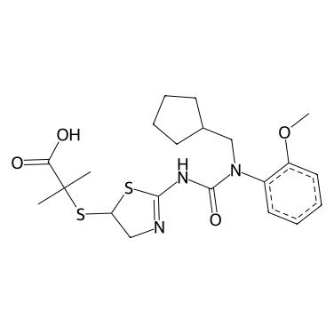 COc1ccccc1N(CC1CCCC1)C(=O)NC1=NCC(SC(C)(C)C(=O)O)S1